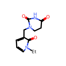 CCn1cccc(CN2CCC(=O)NC2=O)c1=O